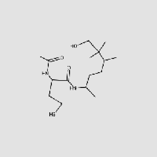 CC(=O)NC(CCS)C(=O)NC(C)CCC(C)C(C)(C)CO